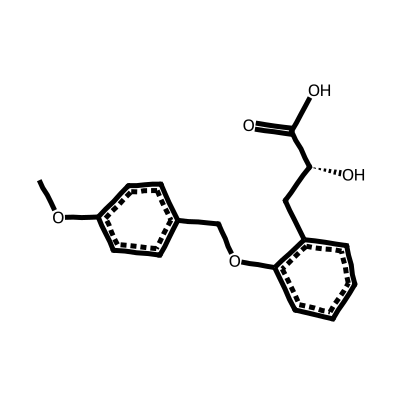 COc1ccc(COc2ccccc2C[C@@H](O)C(=O)O)cc1